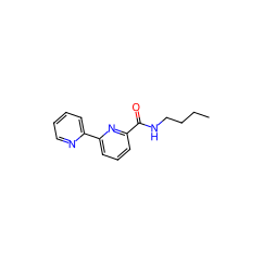 CCCCNC(=O)c1cccc(-c2ccccn2)n1